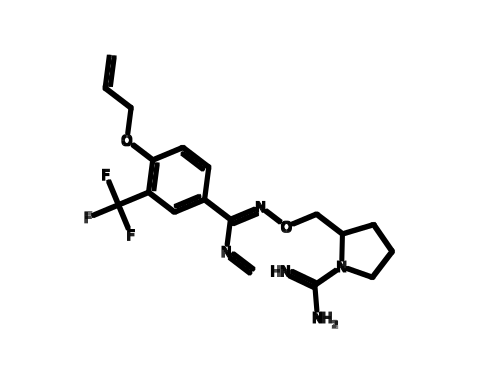 C=CCOc1ccc(/C(N=C)=N/OCC2CCCN2C(=N)N)cc1C(F)(F)F